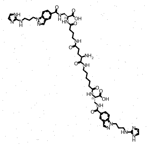 NC(CCC(=O)NCCCC(=O)N[C@@H](CNC(=O)c1ccc2c(cnn2CCCNc2ncc[nH]2)c1)C(=O)O)C(=O)NCCCCCC(=O)N[C@@H](CNC(=O)c1ccc2c(cnn2CCCNc2ncc[nH]2)c1)C(=O)O